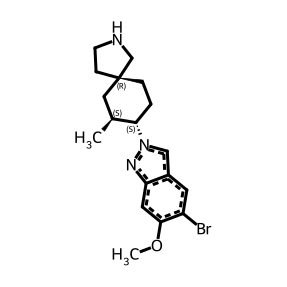 COc1cc2nn([C@H]3CC[C@]4(CCNC4)C[C@@H]3C)cc2cc1Br